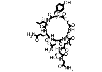 CC[C@H](C)[C@@H]1NC(=O)[C@H](Cc2ccc(O)cc2)NC(=O)CCC(=O)NC[C@@H](C(=O)N(C)CC(=O)N[C@@H](CO)C(=O)NCC(N)=O)NC(=O)[C@H](CC(N)=O)NC(=O)[C@H](CCC(N)=O)NC1=O